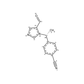 C[C@H](c1ccc(C#N)cc1)n1cncc1C=O